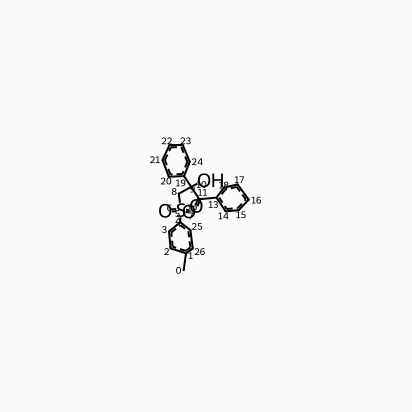 Cc1ccc(S(=O)(=O)CC(O)(C(=O)c2ccccc2)c2ccccc2)cc1